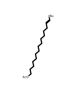 CCCCC=CCCCCCCCCCCCC[CH]OC(C)=O